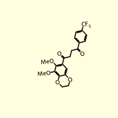 COc1c(C(=O)CCC(=O)c2ccc(C(F)(F)F)cc2)cc2c(c1OC)OCCO2